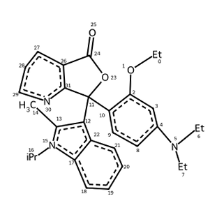 CCOc1cc(N(CC)CC)ccc1C1(c2c(C)n(C(C)C)c3ccccc23)OC(=O)c2cccnc21